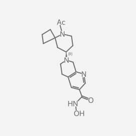 CC(=O)N1CC[C@@H](N2CCc3cc(C(=O)NO)cnc3C2)CC12CCC2